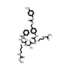 CC(C)[C@H](NC(=O)[C@H](CCCCNC(=O)OC(C)(C)C)NS(=O)(=O)c1ccccc1)C(=O)N[C@@H](CCCNC(N)=O)C(=O)Nc1ccc(COC(=O)Oc2ccc([N+](=O)[O-])cc2)cc1